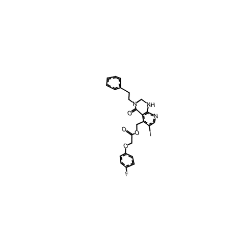 O=C(COc1ccc(F)cc1)OCc1c(I)cnc2c1C(=O)N(CCc1ccccc1)CN2